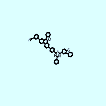 N#Cc1cccc(-c2ccc3c4ccc(-c5ccc(-c6nc(-c7ccccc7)nc(-c7ccc8sc9ccccc9c8c7)n6)cc5)cc4c4oc5ccccc5c4c3c2)c1